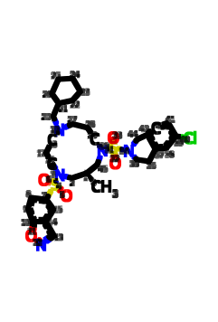 C[C@H]1CN(S(=O)(=O)c2ccc3oncc3c2)CCCN(CC2CCCCC2)CCCN(S(=O)(=O)N2CCc3cc(Cl)ccc3C2)C1